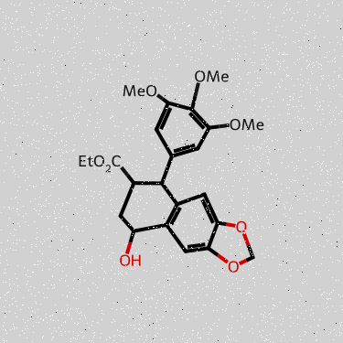 CCOC(=O)C1CC(O)c2cc3c(cc2C1c1cc(OC)c(OC)c(OC)c1)OCO3